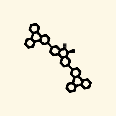 O=c1[nH]c2cc(-c3ccc4c5ccccc5c5ccccc5c4c3)ccc2c2ccc(-c3ccc4c5ccccc5c5ccccc5c4c3)cc12